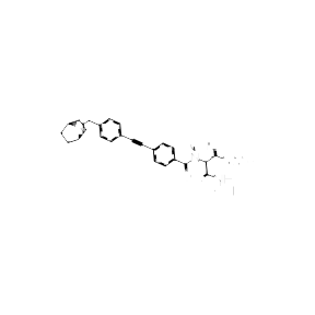 CNC(=O)C(C(=O)NO)N(C)C(=O)c1ccc(C#Cc2ccc(CN3C4CCC3CC4)cc2)cc1